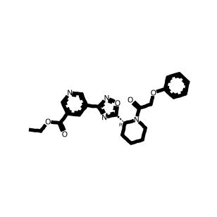 CCOC(=O)c1cncc(-c2noc([C@H]3CCCCN3C(=O)COc3ccccc3)n2)c1